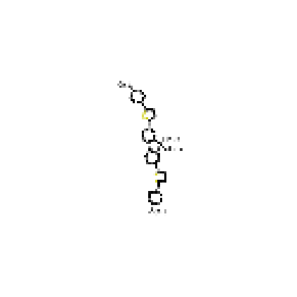 CCCCCCCCc1ccc(-c2ccc(-c3ccc4c(c3)C(CCCCCC)(CCCCCC)c3cc(-c5ccc(-c6ccc(CCCCCCCC)cc6)s5)ccc3-4)s2)cc1